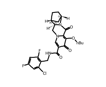 CCCCOc1c2n(cc(C(=O)NCc3c(F)cc(F)cc3Cl)c1=O)C[C@H]1[C@@H]3CC[C@@H](C3)N1C2=O